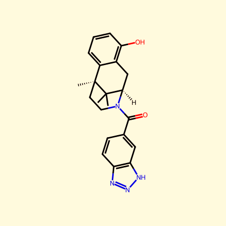 CC1(C)[C@H]2Cc3c(O)cccc3[C@]1(C)CCN2C(=O)c1ccc2nn[nH]c2c1